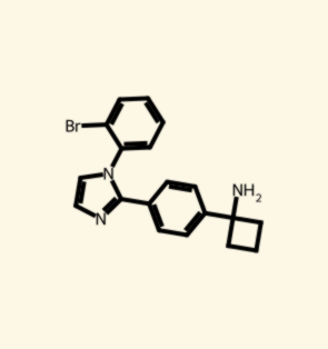 NC1(c2ccc(-c3nccn3-c3ccccc3Br)cc2)CCC1